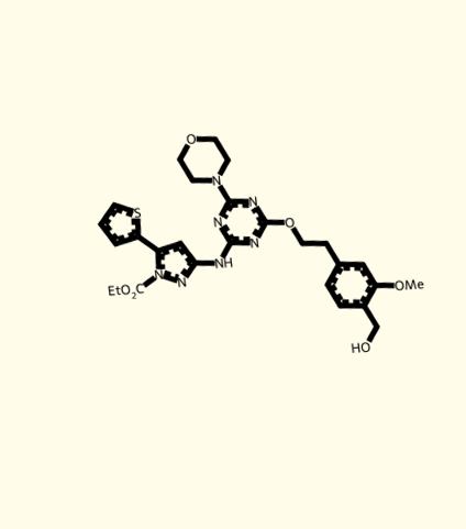 CCOC(=O)n1nc(Nc2nc(OCCc3ccc(CO)c(OC)c3)nc(N3CCOCC3)n2)cc1-c1cccs1